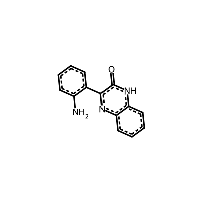 Nc1ccccc1-c1nc2ccccc2[nH]c1=O